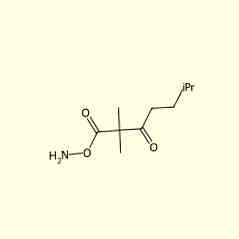 CC(C)CCC(=O)C(C)(C)C(=O)ON